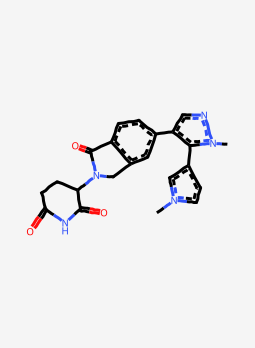 Cn1ccc(-c2c(-c3ccc4c(c3)CN(C3CCC(=O)NC3=O)C4=O)cnn2C)c1